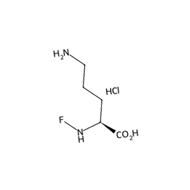 Cl.NCCC[C@H](NF)C(=O)O